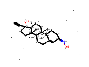 C#C[C@]1(O)CC[C@H]2[C@@H]3CCC4=CC(=NO)CC[C@@H]4[C@H]3CC[C@@]21C